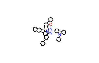 c1ccc(-c2ccc(-c3nc(-c4ccc5c6ccccc6n(-c6ccccc6)c5c4)nc(-c4c(C5c6ccccc6-c6cc7ccccc7cc65)ccc5c4oc4ccccc45)n3)cc2)cc1